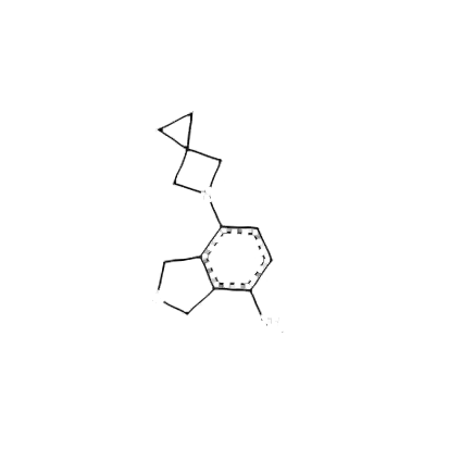 Nc1ccc(N2CC3(CC3)C2)c2c1COC2